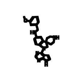 COc1cccc(CNc2ccc3c(c2)C2(CCNCC2)CN3c2ncnc3[nH]ccc23)c1